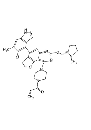 C=CC(=O)N1CCN(c2nc(OC[C@@H]3CCCN3C)nc3cc(-c4c(Cl)c(C)cc5[nH]ncc45)c4c(c23)OCC4)CC1